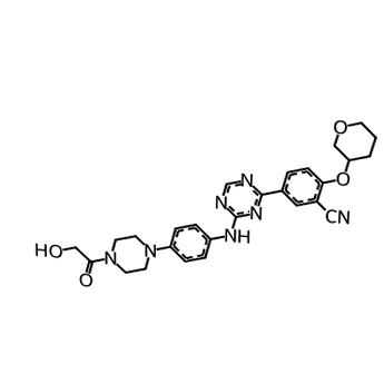 N#Cc1cc(-c2ncnc(Nc3ccc(N4CCN(C(=O)CO)CC4)cc3)n2)ccc1OC1CCCOC1